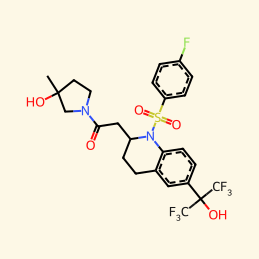 CC1(O)CCN(C(=O)CC2CCc3cc(C(O)(C(F)(F)F)C(F)(F)F)ccc3N2S(=O)(=O)c2ccc(F)cc2)C1